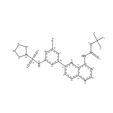 CC(C)(C)OC(=O)Nc1ncnc2ccc(-c3cc(F)cc(NS(=O)(=O)N4CCCC4)c3)nc12